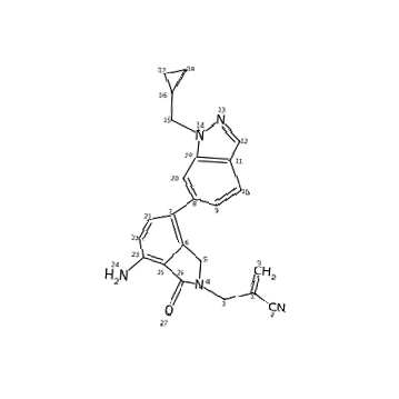 C=C(C#N)CN1Cc2c(-c3ccc4cnn(CC5CC5)c4c3)ccc(N)c2C1=O